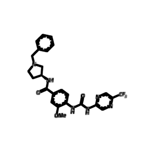 COc1cc(C(=O)N[C@H]2CCN(Cc3ccccc3)C2)ccc1NC(=O)Nc1cnc(C(F)(F)F)cn1